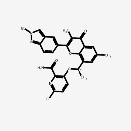 CCn1cc2cc(-c3oc4c([C@@H](C)Oc5ccc(Cl)nc5C(N)=O)cc(C)cc4c(=O)c3C)ccc2n1